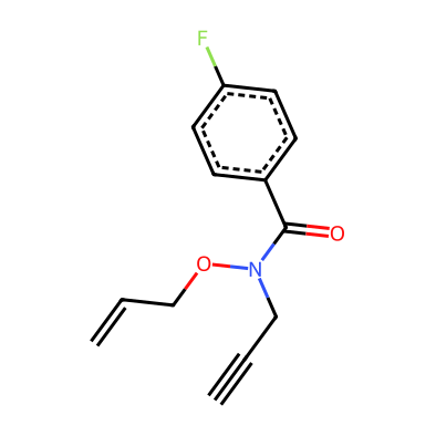 C#CCN(OCC=C)C(=O)c1ccc(F)cc1